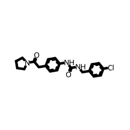 O=C(NCc1ccc(Cl)cc1)Nc1ccc(CC(=O)N2CCCC2)cc1